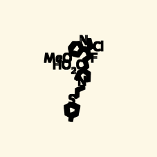 COc1ccc2ncc(Cl)c(C(F)CCC3(C(=O)O)CCN(CCCSc4ccc(C)cc4)CC3)c2c1